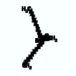 CCCCCC=CCC=CCCCCCCCCOc1cc(C(=O)OC)cc(OCCCCCCCCC=CCC=CCCCCC)c1Br